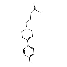 COc1ccc(C2=CCN(CCCC(=N)N)CC2)cc1